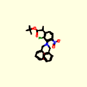 CC(C(=O)OC(C)(C)C)c1ccc([N+](=O)[O-])c(N(Cc2ccccc2)Cc2ccccc2)c1F